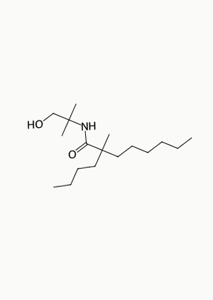 CCCCCCC(C)(CCCC)C(=O)NC(C)(C)CO